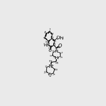 O=C(c1c(O)c2ccccc2[nH]c1=O)N1CCN(CCN2CCOCC2)CC1